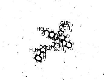 CCC(NC(=O)[C@@H]1C[C@@H](OC(C)(C)C)CN1C(=O)[C@@H](NC(=O)Cc1ccc(CC(=O)O)cc1)C1CCCCC1)C(=O)C(=O)NCC(=O)N[C@H](C(N)=O)c1ccccc1